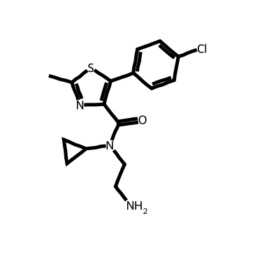 Cc1nc(C(=O)N(CCN)C2CC2)c(-c2ccc(Cl)cc2)s1